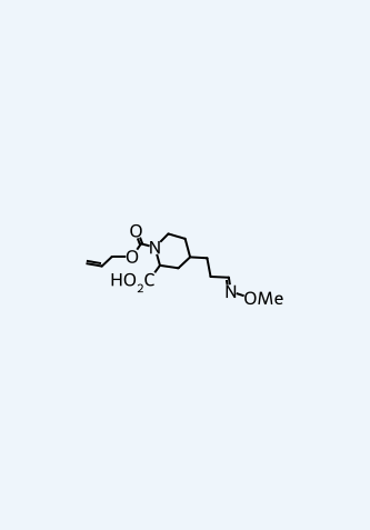 C=CCOC(=O)N1CCC(CCC=NOC)CC1C(=O)O